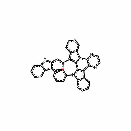 c1ccc(-n2c3ccccc3c3c4nccnc4c4c5ccccc5n(-c5ccc6c(c5)oc5ccccc56)c4c32)cc1